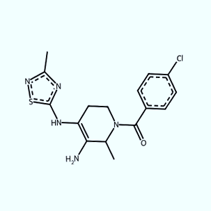 Cc1nsc(NC2=C(N)C(C)N(C(=O)c3ccc(Cl)cc3)CC2)n1